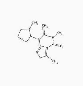 C=C1C2=C(C)CN=C2N(C2CCCC2C)C(=C)N1C